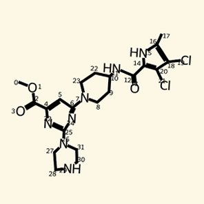 COC(=O)c1cc(N2CCC(NC(=O)c3[nH]c(C)c(Cl)c3Cl)CC2)nc(N2CCNCC2)n1